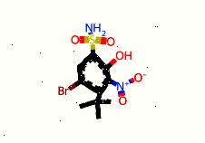 CC(C)(C)c1c(Br)cc(S(N)(=O)=O)c(O)c1[N+](=O)[O-]